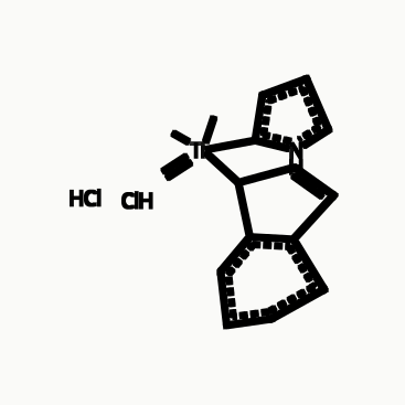 Cl.Cl.[CH2]=[Ti]([CH3])([CH3])([c]1ccc[nH]1)[CH]1C=Cc2ccccc21